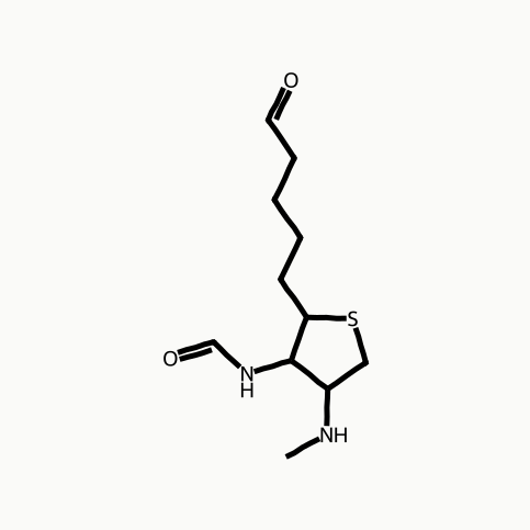 CNC1CSC(CCCCC=O)C1NC=O